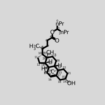 CCCC(CCC)OC(=O)CC[C@@H](C)[C@H]1CC[C@H]2[C@@H]3CC=C4C[C@@H](O)CC[C@]4(C)[C@H]3CC[C@]12C